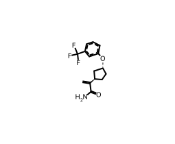 C=C(C(N)=O)[C@@H]1CC[C@@H](Oc2cccc(C(F)(F)F)c2)C1